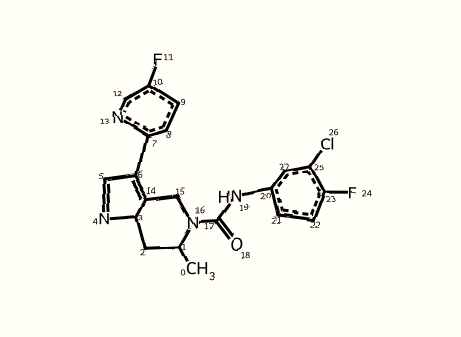 CC1CC2N=CC(c3ccc(F)cn3)=C2CN1C(=O)Nc1ccc(F)c(Cl)c1